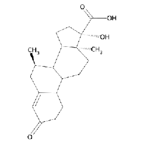 C[C@@H]1CC2=CC(=O)CCC2C2CC[C@@]3(C)C(CC[C@@]3(O)C(=O)O)C21